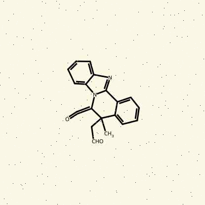 CC1(CC=O)C(=C=O)n2c(nc3ccccc32)-c2ccccc21